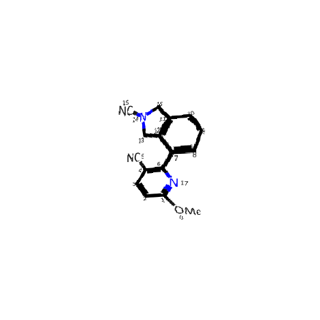 COc1ccc(C#N)c(-c2cccc3c2CN(C#N)C3)n1